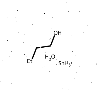 CCCCO.O.[SnH2]